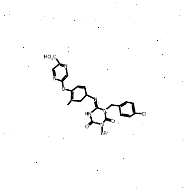 CCCn1c(=O)[nH]/c(=N\C2C=CC(Oc3cnc(C(=O)O)cn3)=C(C)C2)n(Cc2ccc(Cl)cc2)c1=O